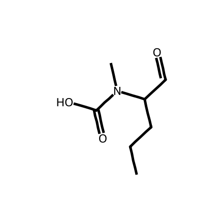 CCCC(C=O)N(C)C(=O)O